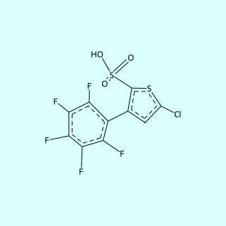 O=S(=O)(O)c1sc(Cl)cc1-c1c(F)c(F)c(F)c(F)c1F